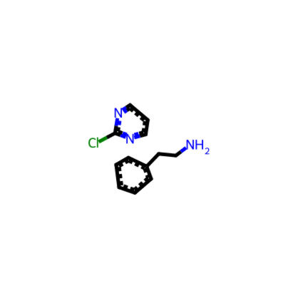 Clc1ncccn1.NCCc1ccccc1